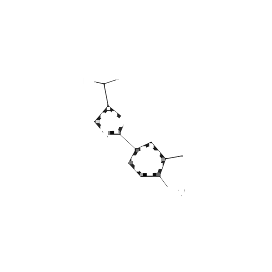 CCC(O)c1cnc(-c2ccc(SC)c(F)c2)s1